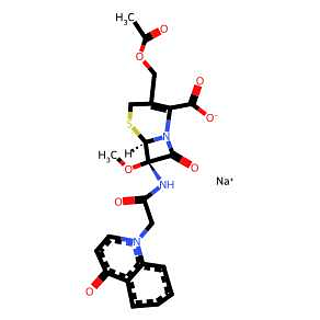 CO[C@@]1(NC(=O)Cn2ccc(=O)c3ccccc32)C(=O)N2C(C(=O)[O-])=C(COC(C)=O)CS[C@@H]21.[Na+]